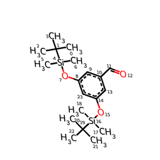 CC(C)(C)[Si](C)(C)Oc1cc(C=O)cc(O[Si](C)(C)C(C)(C)C)c1